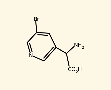 NC(C(=O)O)c1cncc(Br)c1